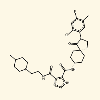 Cc1cc(N2CC[C@]3(CC[C@@H](NC(=O)c4[nH]cnc4C(=O)NCCN4CCC(C)CC4)CC3)C2=O)c(Cl)cc1F